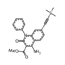 COC(=O)c1c(N)c2ccc(C#C[Si](C)(C)C)cc2n(-c2ccccc2)c1=O